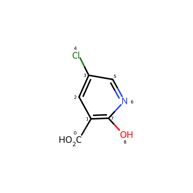 O=C(O)c1cc(Cl)cnc1O